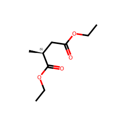 CCOC(=O)C[C@H](C)C(=O)OCC